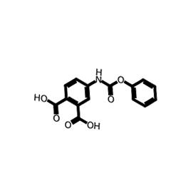 O=C(Nc1ccc(C(=O)O)c(C(=O)O)c1)Oc1ccccc1